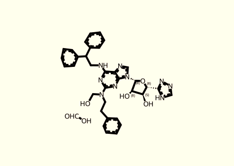 O=CO.OCN(CCc1ccccc1)c1nc(NCC(c2ccccc2)c2ccccc2)c2ncn([C@@H]3O[C@H](c4nnc[nH]4)[C@@H](O)[C@H]3O)c2n1